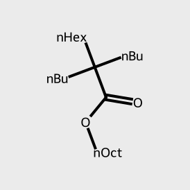 CCCCCCCCOC(=O)C(CCCC)(CCCC)CCCCCC